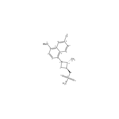 COc1ccc(N2C[C@H](CS(C)(=O)=O)[C@H]2C)c2cnc(Cl)cc12